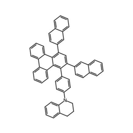 c1ccc2c(c1)CCCN2c1ccc(-c2c(-c3ccc4ccccc4c3)cc(-c3ccc4ccccc4c3)c3c4ccccc4c4ccccc4c23)cc1